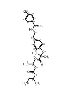 CC(CN)OC(=O)OC(C)OC(=O)C(C)(C)Oc1ccc(CCNC(=O)c2ccc(Cl)cc2)cc1